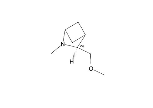 COC[C@@H]1C2CC(C2)N1C